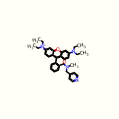 CCN(CC)c1ccc2c(-c3ccccc3C(=O)N(C)Cc3ccncc3)c3ccc(=[N+](CC)CC)cc-3oc2c1